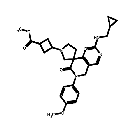 COC(=O)C1CC(N2CCC3(C2)C(=O)N(c2ccc(OC)cc2)Cc2cnc(NCC4CC4)nc23)C1